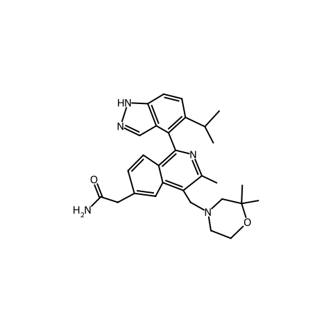 Cc1nc(-c2c(C(C)C)ccc3[nH]ncc23)c2ccc(CC(N)=O)cc2c1CN1CCOC(C)(C)C1